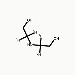 [2H]C([2H])(CO)NC([2H])([2H])CO